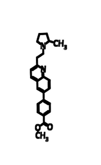 COC(=O)c1ccc(-c2ccc3nc(CCN4CCCC4C)ccc3c2)cc1